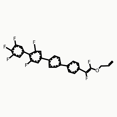 C=CCO/C(F)=C(\F)c1ccc(-c2ccc(-c3cc(F)c(-c4cc(F)c(F)c(F)c4)c(F)c3)cc2)cc1